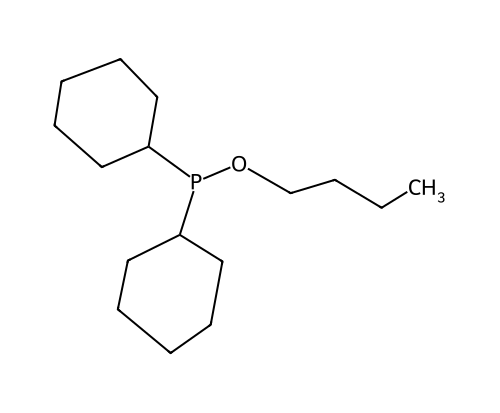 CCCCOP(C1CCCCC1)C1CCCCC1